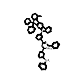 CN/C(=N\C(=N/Cc1ccccc1)c1cccc(-n2c3ccccc3c3cc4c(cc32)C(c2ccccc2)(c2ccccc2)C2=C4C(C)CC=C2)c1)c1cccc([SiH2]c2ccccc2)c1